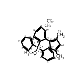 C[O][Ti+2]([c]1ccccc1)([c]1ccccc1)[c]1ccccc1C1=C(C)C=C(C)C1.[Cl-].[Cl-]